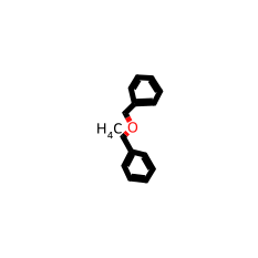 C.c1ccc(COCc2ccccc2)cc1